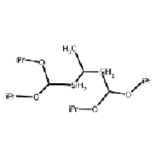 CC(C)OC(OC(C)C)[SiH2]C(C)[SiH2]C(OC(C)C)OC(C)C